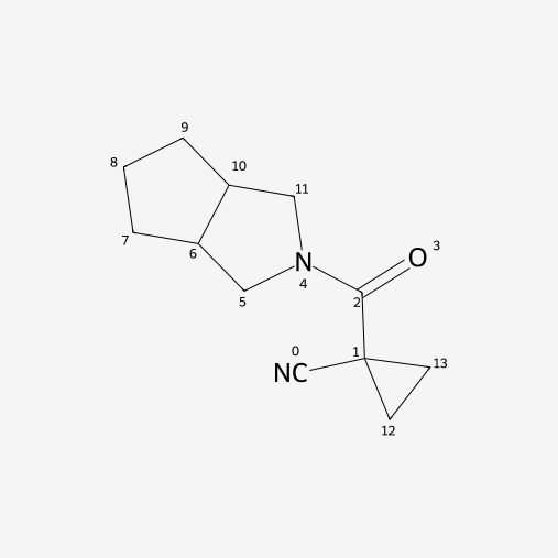 N#CC1(C(=O)N2CC3CCCC3C2)CC1